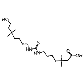 CC(C)(CCO)CCCCNC(=S)NCCCCC(C)(C)CC(=O)O